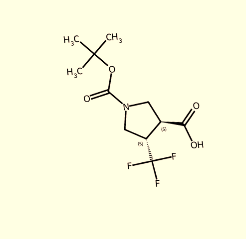 CC(C)(C)OC(=O)N1C[C@@H](C(F)(F)F)[C@H](C(=O)O)C1